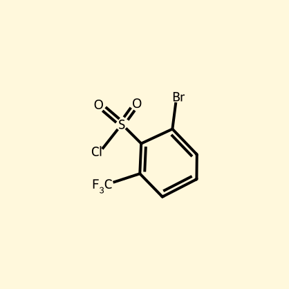 O=S(=O)(Cl)c1c(Br)cccc1C(F)(F)F